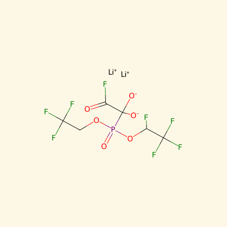 O=C(F)C([O-])([O-])P(=O)(OCC(F)(F)F)OC(F)C(F)(F)F.[Li+].[Li+]